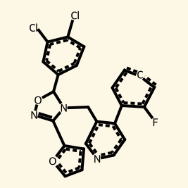 Fc1ccccc1-c1ccncc1CN1C(c2ccco2)=NOC1c1ccc(Cl)c(Cl)c1